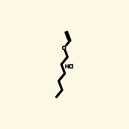 C=COCCCCCC.Cl